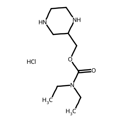 CCN(CC)C(=O)OCC1CNCCN1.Cl